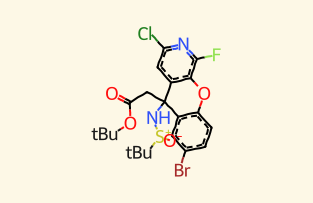 CC(C)(C)OC(=O)CC1(N[S+]([O-])C(C)(C)C)c2cc(Br)ccc2Oc2c1cc(Cl)nc2F